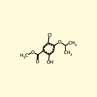 COC(=O)c1cc(Cl)c(OC(C)C)cc1O